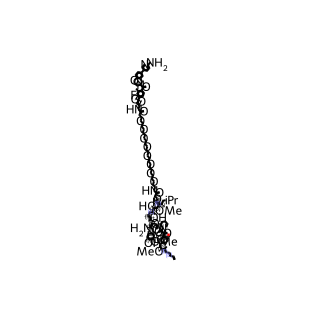 C=C/C=C/C=C(\C)[C@H](C[C@@H]1CC[C@@H](C)[C@](O)(C(=O)C(=O)N2CCCC[C@H]2C(=O)O[C@@H](C[C@@H](O)[C@H](C)/C=C(\C)[C@@H](O)[C@@H](OC)/C(=N/OCC(=O)NCCOCCOCCOCCOCCOCCOCCOCCOCCC(=O)NCCS(=O)(=O)c2ccc(C(=O)N3CCOc4ccc(-c5ccc(N)nc5)cc4C3)c(C)c2F)[C@H](C)CC(C)C)[C@H](N)C[C@@H]2CC[C@@H](O)[C@H](OC)C2)O1)OC